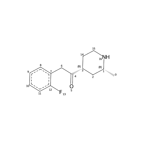 C[C@@H]1C[C@H](C(=O)Cc2ccccc2F)CCN1